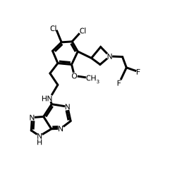 COc1c(CCNc2ncnc3[nH]cnc23)cc(Cl)c(Cl)c1C1CN(CC(F)F)C1